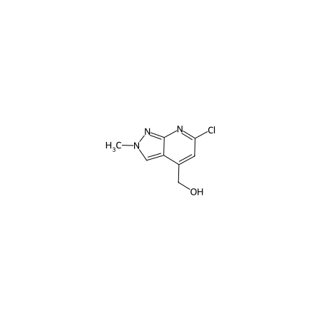 Cn1cc2c(CO)cc(Cl)nc2n1